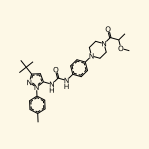 COC(C)C(=O)N1CCN(c2ccc(NC(=O)Nc3cc(C(C)(C)C)nn3-c3ccc(C)cc3)cc2)CC1